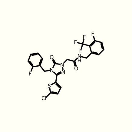 O=C(Cn1nc(-c2ccc(Cl)s2)n(Cc2ccccc2F)c1=O)NCc1cccc(F)c1C(F)(F)F